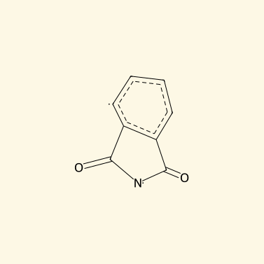 O=C1[N]C(=O)c2ccc[c]c21